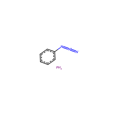 P.[N-]=[N+]=Nc1ccccc1